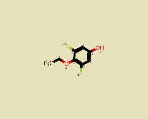 Oc1cc(F)c(OCC(F)(F)F)c(F)c1